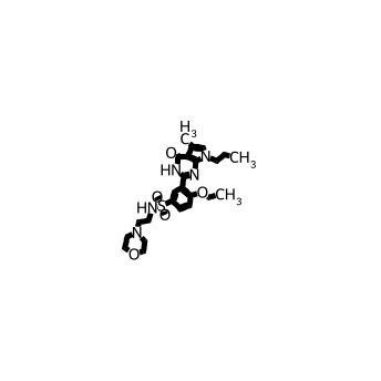 CCCn1cc(C)c2c(=O)[nH]c(-c3cc(S(=O)(=O)NCCN4CCOCC4)ccc3OCC)nc21